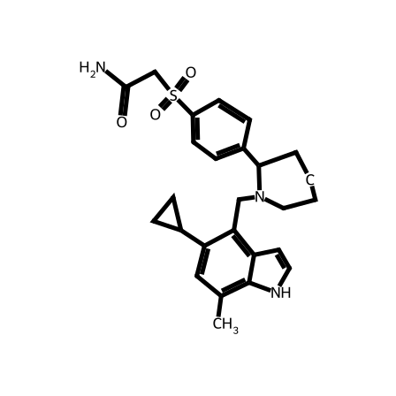 Cc1cc(C2CC2)c(CN2CCCCC2c2ccc(S(=O)(=O)CC(N)=O)cc2)c2cc[nH]c12